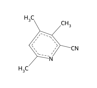 Cc1cc(C)c(C)c(C#N)n1